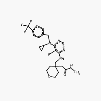 CNC(=O)CC1(CNc2ncnc(N(Cc3ccc(C(F)(F)F)cc3)C3CC3)c2F)CCOCC1